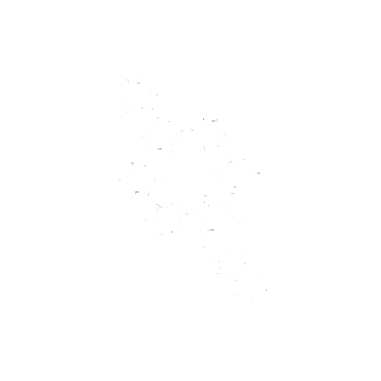 CC1(C)c2cc3ccccc3cc2-c2nc(-c3cccc(-c4cccc(-c5cc(-c6ccccc6)cc(-c6ccccc6)c5)c4)c3)nc(-c3ccccc3)c21